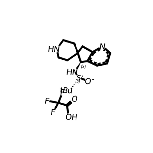 CC(C)(C)[S@@+]([O-])N[C@@H]1c2cccnc2CC12CCNCC2.O=C(O)C(F)(F)F